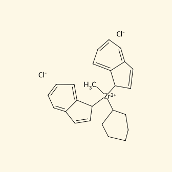 [CH3][Zr+2]([CH]1CCCCC1)([CH]1C=Cc2ccccc21)[CH]1C=Cc2ccccc21.[Cl-].[Cl-]